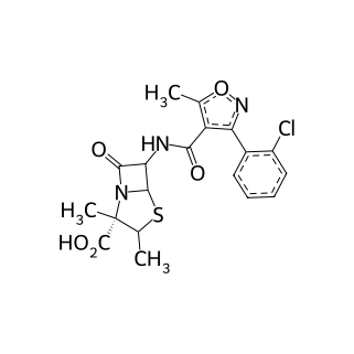 Cc1onc(-c2ccccc2Cl)c1C(=O)NC1C(=O)N2C1SC(C)[C@]2(C)C(=O)O